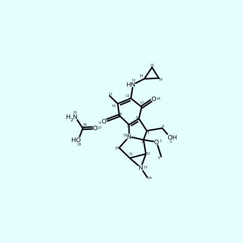 COC12C(CO)C3=C(C(=O)C(C)=C(NC4CC4)C3=O)N1CC1C2N1C.NC(=O)O